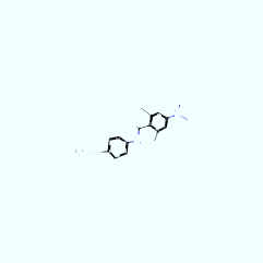 CCOC(=O)C(Nc1ccc(OC)cc1)c1c(C)cc(N(C)C)cc1C